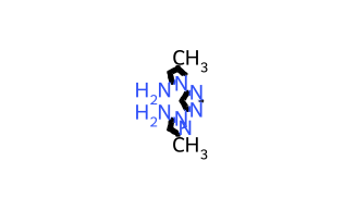 Cc1cc(N)n(-c2cc(-n3nc(C)cc3N)ncn2)c1